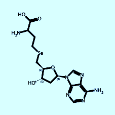 Nc1ncnc2c1ncn2[C@H]1C[C@H](O)[C@@H](C[Se]CCC(N)C(=O)O)O1